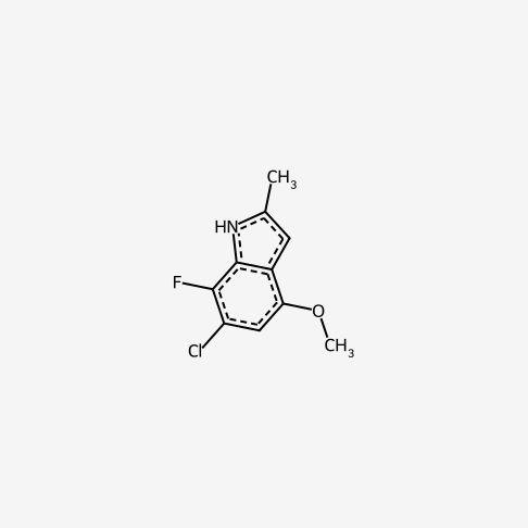 COc1cc(Cl)c(F)c2[nH]c(C)cc12